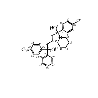 OC(CCCC(O)(c1ccc(F)cc1)N1CCCCC1)(c1ccccc1)c1ccc(Cl)cc1